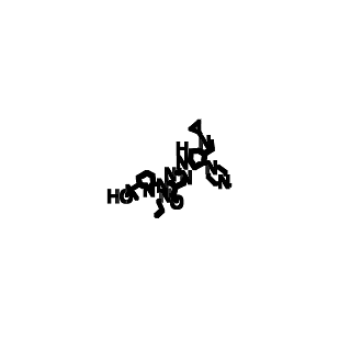 C=CCn1c(=O)c2cnc(Nc3cc(N4CCN(C)CC4)c4ccn(C5CC5)c4c3)nc2n1-c1cccc(C(C)(C)O)n1